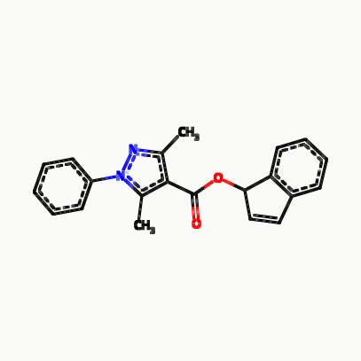 Cc1nn(-c2ccccc2)c(C)c1C(=O)OC1C=Cc2ccccc21